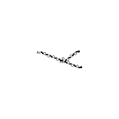 C#CCOCCOCCOCC(COCCOCCOCC#C)NC(=O)CCOCCOCCOCCOCCC(C)=O